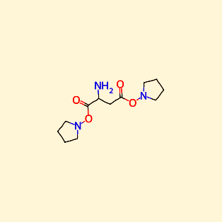 NC(CC(=O)ON1CCCC1)C(=O)ON1CCCC1